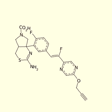 C#CCOc1cnc(/C(F)=C/c2ccc(F)c(C34CN(C(=O)O)CC3CSC(N)=N4)c2)cn1